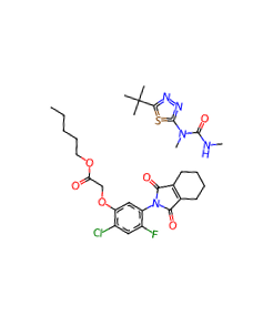 CCCCCOC(=O)COc1cc(N2C(=O)C3=C(CCCC3)C2=O)c(F)cc1Cl.CNC(=O)N(C)c1nnc(C(C)(C)C)s1